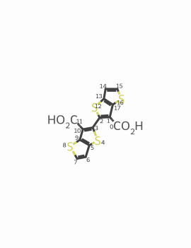 O=C(O)c1c(-c2sc3ccsc3c2C(=O)O)sc2ccsc12